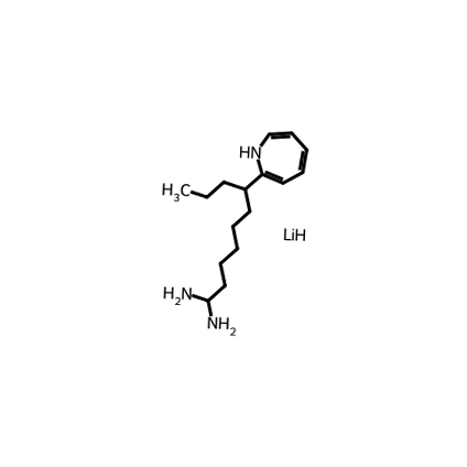 CCCC(CCCCCC(N)N)C1=CC=CC=CN1.[LiH]